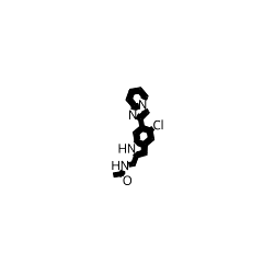 CC(=O)NCc1cc2cc(Cl)c(-c3cn4ccccc4n3)cc2[nH]1